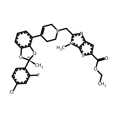 CCOC(=O)c1cc2nc(CN3CC=C(c4cccc5c4O[C@](C)(c4ccc(Cl)cc4F)O5)CC3)n(C)c2s1